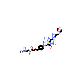 CCNCCNC(=O)CCCc1ccc(NC[C@H]2SC([C@H](N)C(=O)NCCCN3CCOCC3)N(CC)C2=O)cc1